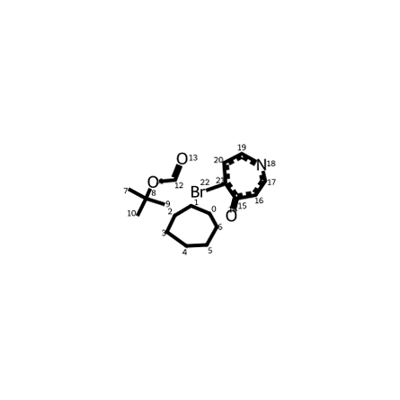 C1CCCCCC1.CC(C)(C)OC=O.O=c1ccnccc1Br